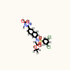 Cn1c(-c2ccc3cc(N(CC(=O)OC(C)(C)C)S(=O)(=O)c4cc(Cl)cc(Cl)c4)ccc3c2)noc1=O